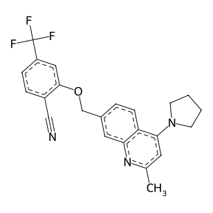 Cc1cc(N2CCCC2)c2ccc(COc3cc(C(F)(F)F)ccc3C#N)cc2n1